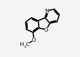 COc1cccc2c1oc1cccnc12